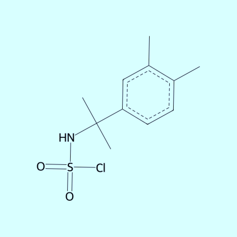 Cc1ccc(C(C)(C)NS(=O)(=O)Cl)cc1C